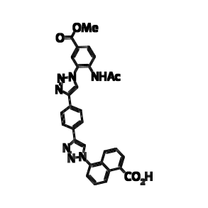 COC(=O)c1ccc(NC(C)=O)c(-n2cc(-c3ccc(-c4cn(-c5cccc6c(C(=O)O)cccc56)nn4)cc3)nn2)c1